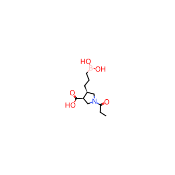 CCC(=O)N1C[C@H](CCCB(O)O)[C@H](C(=O)O)C1